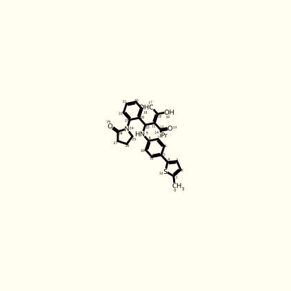 Cc1ccc(-c2ccc(NC(/C(C(=O)C(C)C)=C(/O)C=O)c3ccccc3N3CCCC3=O)cc2)s1